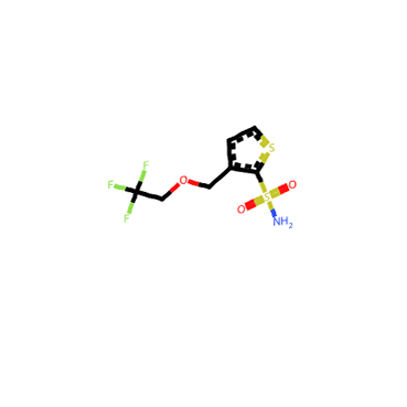 NS(=O)(=O)c1sccc1COCC(F)(F)F